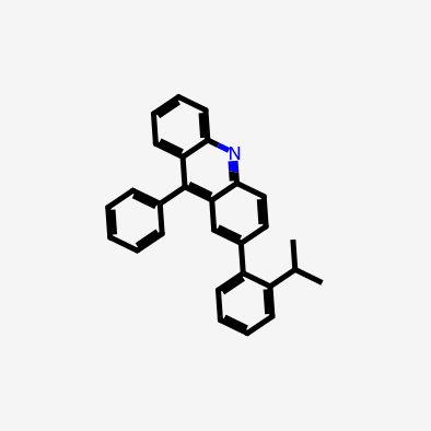 CC(C)c1ccccc1-c1ccc2nc3ccccc3c(-c3ccccc3)c2c1